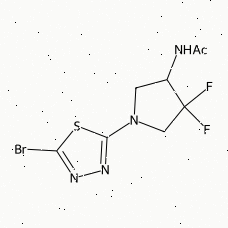 CC(=O)NC1CN(c2nnc(Br)s2)CC1(F)F